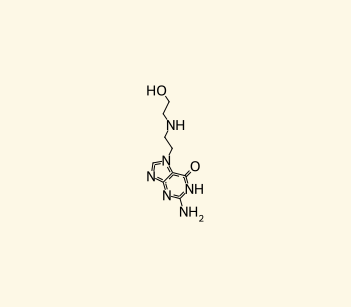 Nc1nc2ncn(CCNCCO)c2c(=O)[nH]1